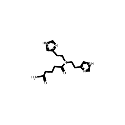 NC(=O)CCCC(=O)N(CCc1c[nH]cn1)CCc1c[nH]cn1